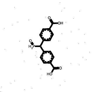 O=[PH2]C(c1ccc(C(=O)O)cc1)c1ccc(C(=O)O)cc1